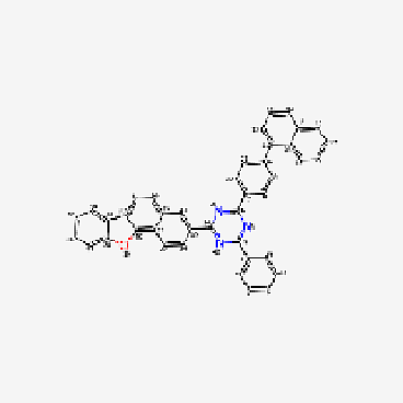 c1ccc(-c2nc(-c3ccc(-c4cccc5ccccc45)cc3)nc(-c3ccc4c(ccc5c6ccccc6oc45)c3)n2)cc1